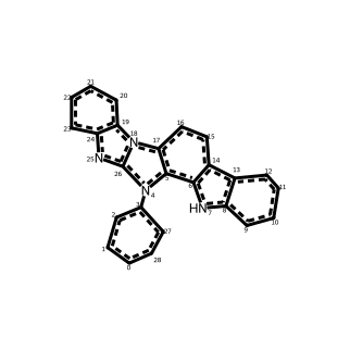 c1ccc(-n2c3c4[nH]c5ccccc5c4ccc3n3c4ccccc4nc23)cc1